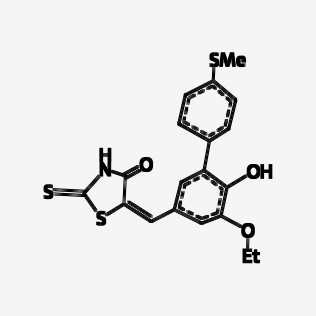 CCOc1cc(C=C2SC(=S)NC2=O)cc(-c2ccc(SC)cc2)c1O